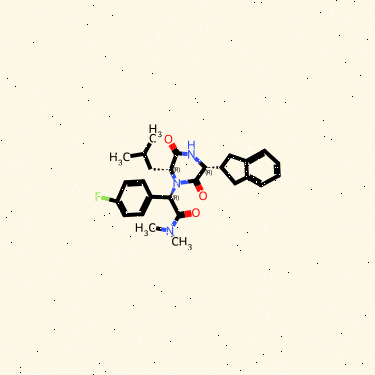 CC(C)C[C@@H]1C(=O)N[C@H](C2Cc3ccccc3C2)C(=O)N1[C@@H](C(=O)N(C)C)c1ccc(F)cc1